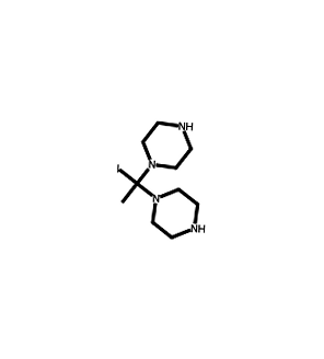 CC(I)(N1CCNCC1)N1CCNCC1